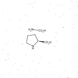 NC(=O)O.O=C(O)[C@@H]1CCCN1